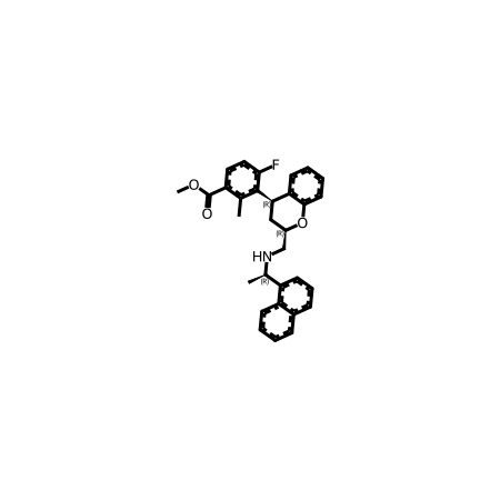 COC(=O)c1ccc(F)c([C@@H]2C[C@H](CN[C@H](C)c3cccc4ccccc34)Oc3ccccc32)c1C